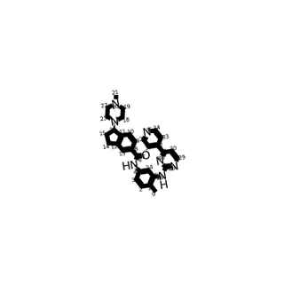 Cc1ccc(NC(=O)c2ccc3c(c2)CC[C@@H]3N2CCN(C)CC2)cc1Nc1nccc(-c2ccncc2)n1